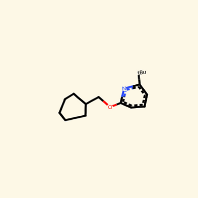 CC(C)(C)c1cccc(OCC2CCCCC2)n1